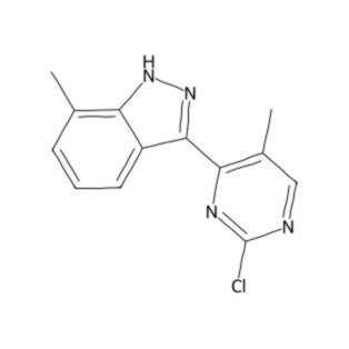 Cc1cnc(Cl)nc1-c1n[nH]c2c(C)cccc12